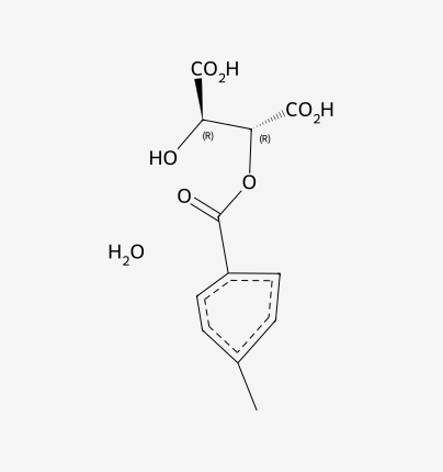 Cc1ccc(C(=O)O[C@@H](C(=O)O)[C@@H](O)C(=O)O)cc1.O